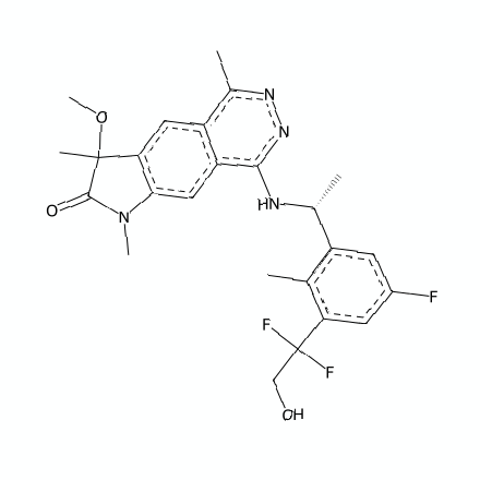 COC1(C)C(=O)N(C)c2cc3c(N[C@H](C)c4cc(F)cc(C(F)(F)CO)c4C)nnc(C)c3cc21